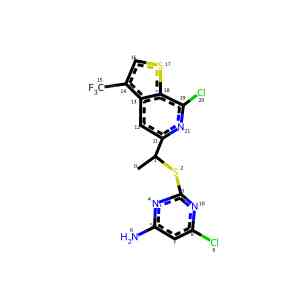 CC(Sc1nc(N)cc(Cl)n1)c1cc2c(C(F)(F)F)csc2c(Cl)n1